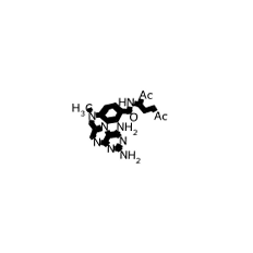 CC(=O)CCC(NC(=O)c1ccc(N(C)Cc2cnc3nc(N)nc(N)c3n2)cc1)C(C)=O